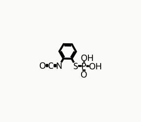 O=C=Nc1ccccc1SP(=O)(O)O